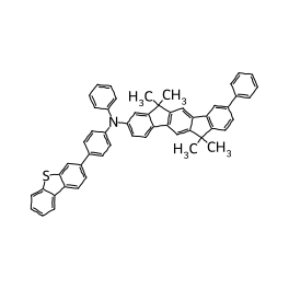 CC1(C)c2ccc(-c3ccccc3)cc2-c2cc3c(cc21)-c1ccc(N(c2ccccc2)c2ccc(-c4ccc5c(c4)sc4ccccc45)cc2)cc1C3(C)C